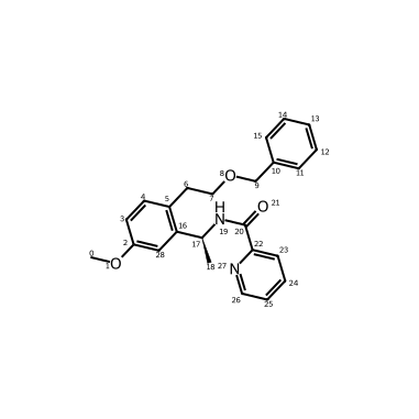 COc1ccc(CCOCc2ccccc2)c([C@H](C)NC(=O)c2ccccn2)c1